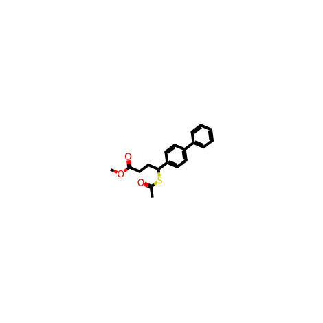 COC(=O)CCC(SC(C)=O)c1ccc(-c2ccccc2)cc1